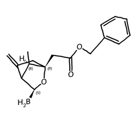 B[C@@H]1O[C@@]2(CC(=O)OCc3ccccc3)CC(=C)C1[C@H]2C